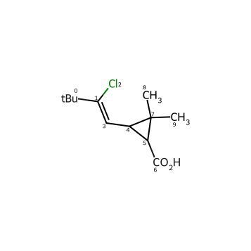 CC(C)(C)C(Cl)=CC1C(C(=O)O)C1(C)C